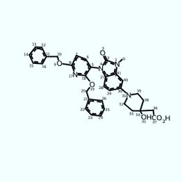 Cn1c(=O)n(-c2ccc(OCc3ccccc3)nc2OCc2ccccc2)c2ccc(N3CCC(O)(CC(=O)O)CC3)cc21